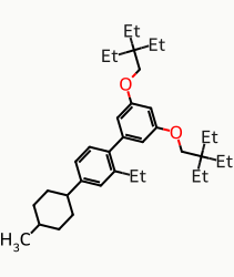 CCc1cc(C2CCC(C)CC2)ccc1-c1cc(OCC(CC)(CC)CC)cc(OCC(CC)(CC)CC)c1